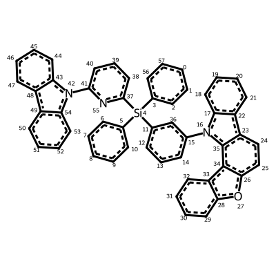 c1ccc([Si](c2ccccc2)(c2cccc(-n3c4ccccc4c4ccc5oc6ccccc6c5c43)c2)c2cccc(-n3c4ccccc4c4ccccc43)n2)cc1